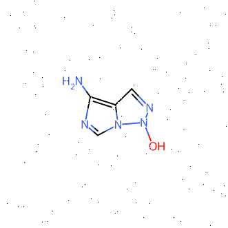 Nc1ncn2c1cnn2O